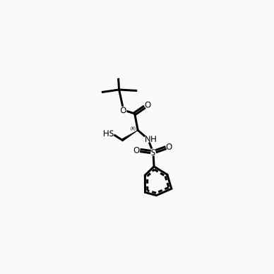 CC(C)(C)OC(=O)[C@H](CS)NS(=O)(=O)c1ccccc1